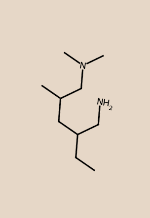 CCC(CN)CC(C)CN(C)C